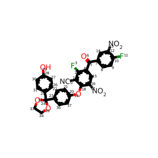 N#Cc1c(F)c(C(=O)c2ccc(F)c([N+](=O)[O-])c2)cc([N+](=O)[O-])c1Oc1ccc(C2(c3ccc(O)cc3)OCCO2)cc1